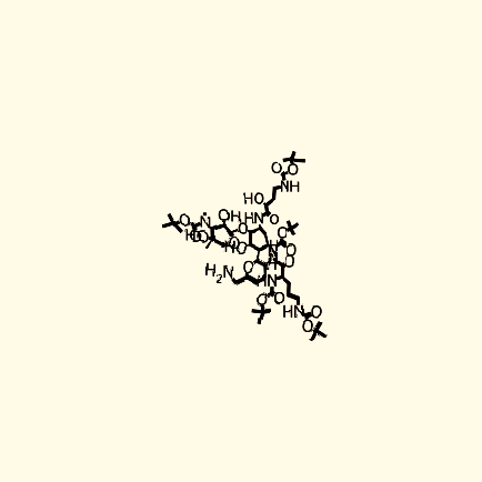 CN(C(=O)OC(C)(C)C)[C@@H]1[C@@H](O)[C@@H](O[C@@H]2[C@@H](O)[C@H](C3OC(CN)=CC[C@H]3NC(=O)C(CCCNC(=O)OC(C)(C)C)NC(=O)OC(C)(C)C)[C@@H](NC(=O)OC(C)(C)C)C[C@H]2NC(=O)[C@@H](O)CCNC(=O)OC(C)(C)C)OC[C@]1(C)O